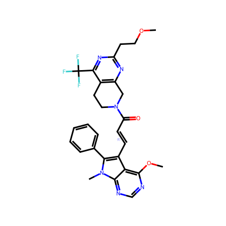 COCCc1nc2c(c(C(F)(F)F)n1)CCN(C(=O)/C=C/c1c(-c3ccccc3)n(C)c3ncnc(OC)c13)C2